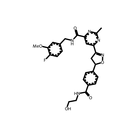 COc1cc(CNC(=O)c2cc(C3=NOC(c4ccc(C(=O)NCCO)cc4)C3)nc(C)n2)ccc1F